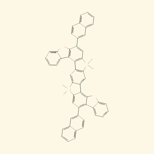 C[Si]1(C)c2cc3c(cc2-c2c1cc(-c1ccc4ccccc4c1)c1c2oc2ccccc21)[Si](C)(C)c1cc(-c2ccc4ccccc4c2)c2oc4ccccc4c2c1-3